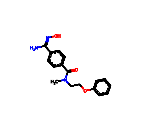 CN(CCOc1ccccc1)C(=O)c1ccc(/C(N)=N\O)cc1